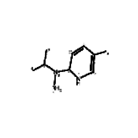 CC1=CNC(N(N)C(C)C)C=C1